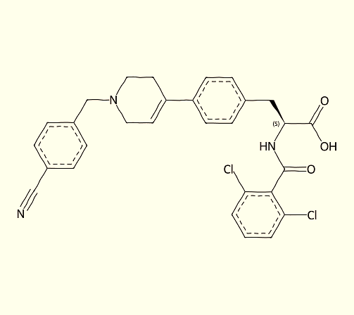 N#Cc1ccc(CN2CC=C(c3ccc(C[C@H](NC(=O)c4c(Cl)cccc4Cl)C(=O)O)cc3)CC2)cc1